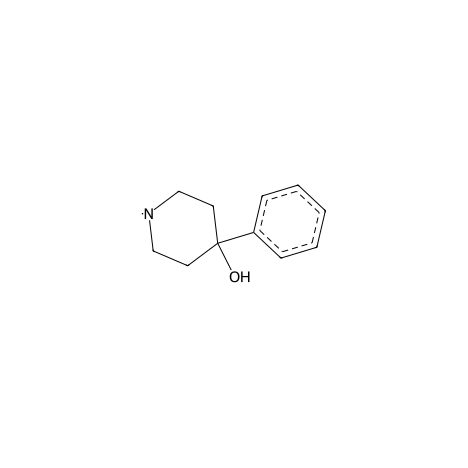 OC1(c2ccccc2)CC[N]CC1